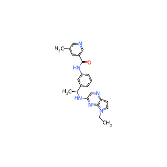 CCn1ccc2ncc(N[C@@H](C)c3cccc(NC(=O)c4cncc(C)c4)c3)nc21